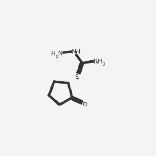 NNC(N)=S.O=C1CCCC1